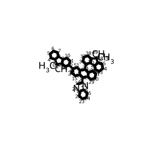 CC1(C)c2ccccc2-c2ccc(-c3ccc4c(-c5cnc6ccccc6n5)c5ccccc5c(-c5cccc6c5-c5ccccc5C6(C)C)c4c3)cc21